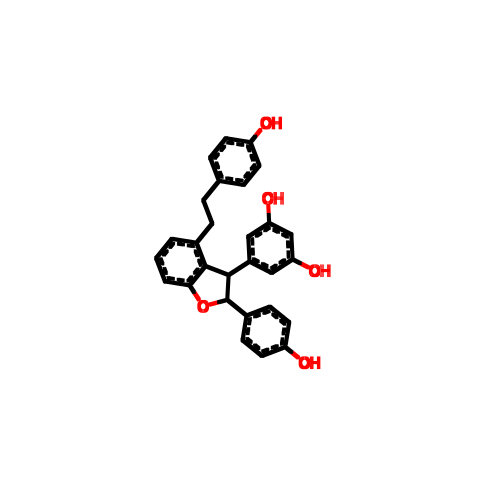 Oc1ccc(CCc2cccc3c2C(c2cc(O)cc(O)c2)C(c2ccc(O)cc2)O3)cc1